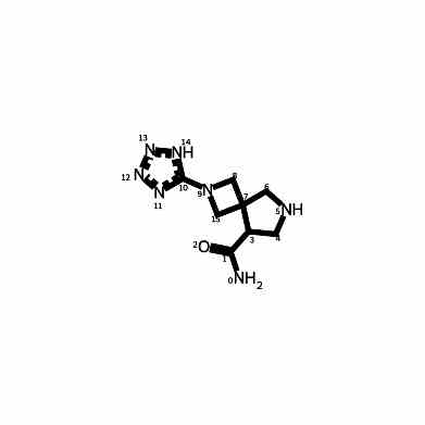 NC(=O)C1CNCC12CN(c1nnn[nH]1)C2